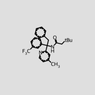 Cc1ccnc(C(Cc2ccccc2)(NC(=O)CC(C)(C)C)c2cccc(C(F)(F)F)c2)c1